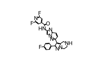 O=C(Nc1cn2nc(-c3c(-c4ccc(F)cc4)nn4c3CNCC4)ccc2n1)c1cc(F)nc(F)c1